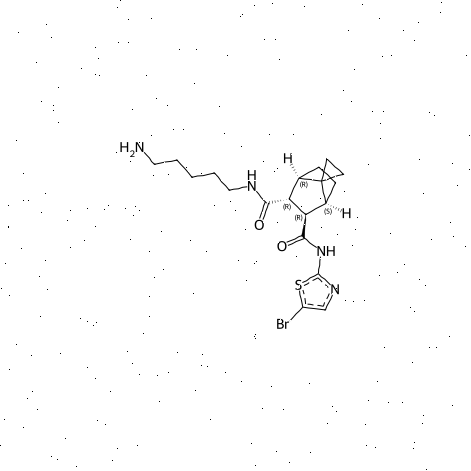 NCCCCCNC(=O)[C@H]1[C@H](C(=O)Nc2ncc(Br)s2)[C@@H]2CC[C@H]1C21CC1